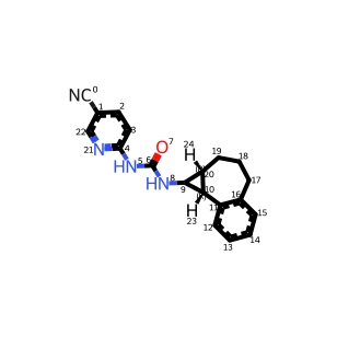 N#Cc1ccc(NC(=O)NC2[C@H]3c4ccccc4CCC[C@@H]23)nc1